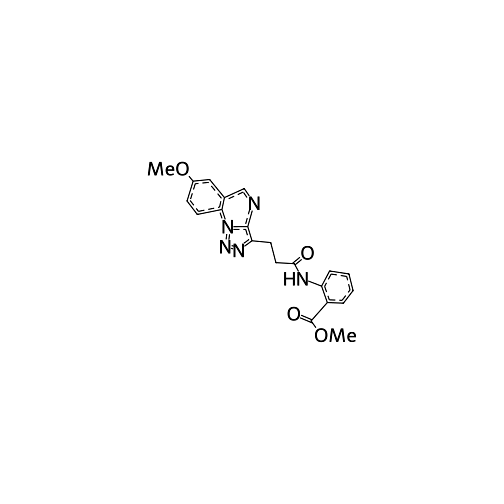 COC(=O)c1ccccc1NC(=O)CCc1nnn2c1ncc1cc(OC)ccc12